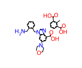 Cc1c(C(=O)O)cccc1C(=O)O.NCc1ccccc1Cn1cnc2c(C(=O)O)cc(N3CCOCC3)cc21